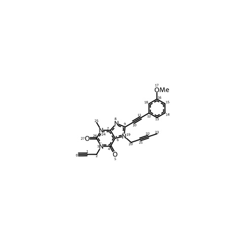 C#CCn1c(=O)c2c(nc(C#Cc3cccc(OC)c3)n2CC#CC)n(C)c1=O